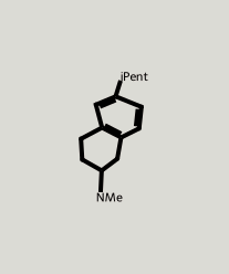 CCCC(C)c1ccc2c(c1)CCC(NC)C2